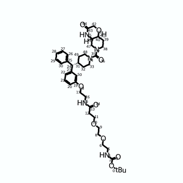 CC(C)(C)OC(=O)NCCOCCOCCC(=O)NCCOc1cccc([C@H](c2ccccc2)C2CCN(C(=O)N3CC[C@@H]4OCC(=O)N[C@@H]4C3)CC2)c1